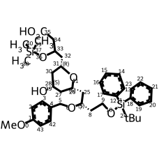 COc1ccc(CO[C@@H](CCO[Si](c2ccccc2)(c2ccccc2)C(C)(C)C)C[C@@H]2C[C@H](O)C[C@H](CC(CC(=O)O)O[Si](C)(C)C)O2)cc1